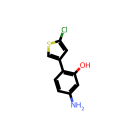 Nc1ccc(-c2csc(Cl)c2)c(O)c1